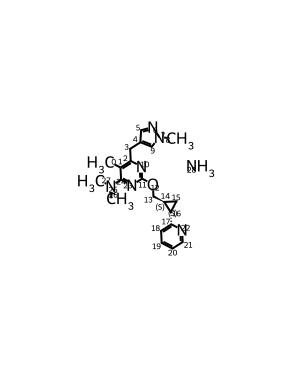 Cc1c(Cc2cnn(C)c2)nc(OC[C@H]2C[C@@H]2c2ccccn2)nc1N(C)C.N